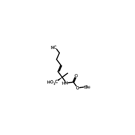 CC(C)(C)OC(=O)N[C@@](C)(C=CCCC#N)C(=O)O